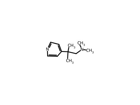 CN(C)CC(C)(C)c1ccncc1